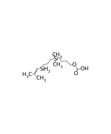 CC(C)=C[SiH2]CCC[Si](C)(C)CCCCOC(=O)O